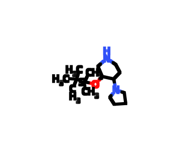 CC(C)(C)[Si](C)(C)OC1CNCCC1N1CCCC1